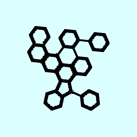 c1ccc(-c2ccccc2-c2c(-c3ccccc3)cccc2N(c2ccc3c(c2)c2ccccc2n3-c2ccccc2)c2cccc3ccccc23)cc1